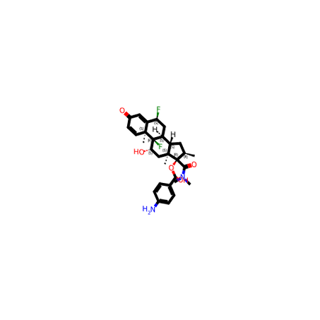 C[C@@H]1C[C@H]2[C@@H]3C[C@H](F)C4=CC(=O)C=C[C@]4(C)[C@@]3(F)[C@@H](O)C[C@]2(C)[C@@]1(OC(O)c1ccc(N)cc1)C(=O)N(C)C